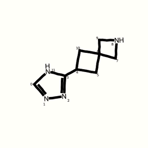 c1nnc(C2CC3(CNC3)C2)[nH]1